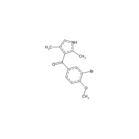 COc1ccc(C(=O)c2c(C)c[nH]c2C)cc1Br